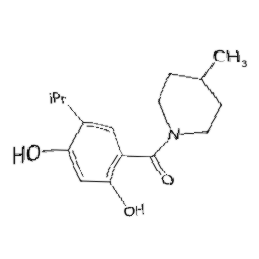 CC1CCN(C(=O)c2cc(C(C)C)c(O)cc2O)CC1